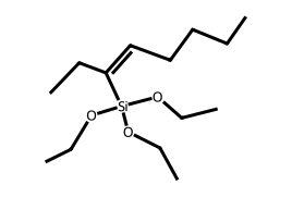 CCCCC=C(CC)[Si](OCC)(OCC)OCC